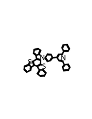 c1ccc(-c2cc(-c3ccc(-n4c5ccccc5c5c6sc7ccccc7c6c6c7ccccc7sc6c54)cc3)cc(-c3ccccc3)n2)cc1